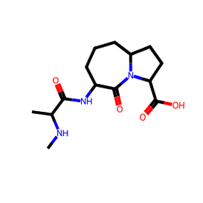 CNC(C)C(=O)NC1CCCC2CCC(C(=O)O)N2C1=O